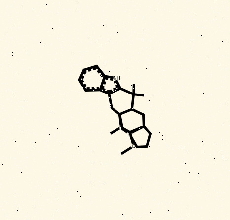 COC1N(C)C23Cc4c([nH]c5ccccc45)C(C)(C)C2CC12CCCN2C3